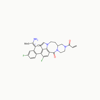 C=CC(=O)N1CCN2C(=O)c3cc(F)c(-c4ccc(F)cc4/C(C#N)=C(/N)SC)c4ccn(c34)CCC2C1